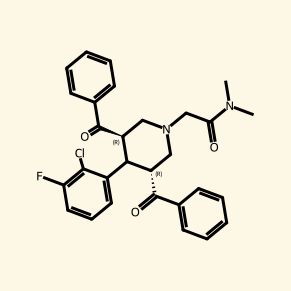 CN(C)C(=O)CN1C[C@H](C(=O)c2ccccc2)C(c2cccc(F)c2Cl)[C@@H](C(=O)c2ccccc2)C1